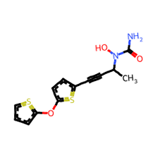 CC(C#Cc1ccc(Oc2cccs2)s1)N(O)C(N)=O